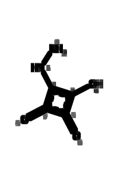 NNc1c(O)c(=O)c1=O